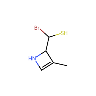 CC1=CNC1C(S)Br